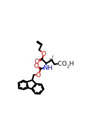 C=CCOC(=O)C(NC(=O)OCC1c2ccccc2-c2ccccc21)[C@H](C)CC(=O)O